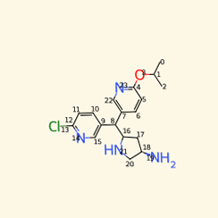 CC(C)Oc1ccc(C(c2ccc(Cl)nc2)C2C[C@@H](N)CN2)cn1